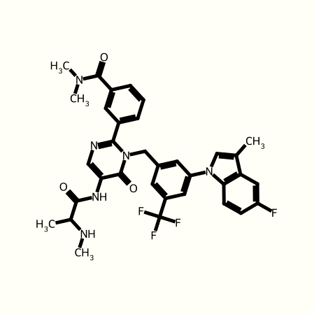 CNC(C)C(=O)Nc1cnc(-c2cccc(C(=O)N(C)C)c2)n(Cc2cc(-n3cc(C)c4cc(F)ccc43)cc(C(F)(F)F)c2)c1=O